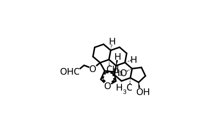 C[C@@]12[C@@H](CCCC1(OCC=O)c1ccoc1)CC[C@@H]1[C@@H]2CC[C@]2(C)[C@H](O)CC[C@]12O